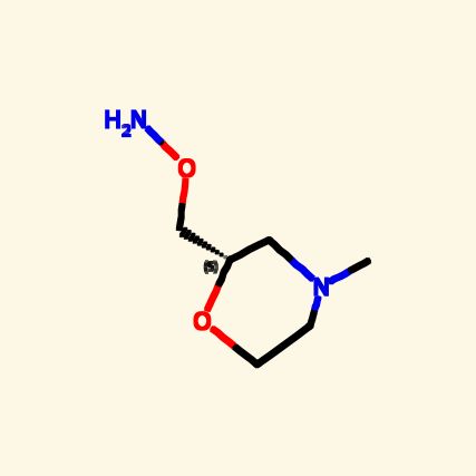 CN1CCO[C@H](CON)C1